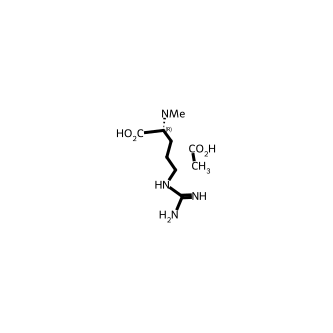 CC(=O)O.CN[C@H](CCCNC(=N)N)C(=O)O